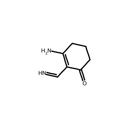 N=CC1=C(N)CCCC1=O